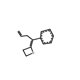 C=CCC(=C1CCO1)c1ccccc1